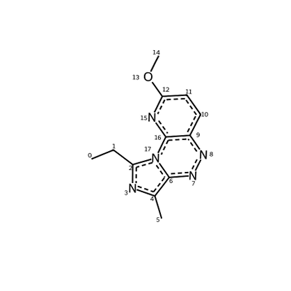 CCc1nc(C)c2nnc3ccc(OC)nc3n12